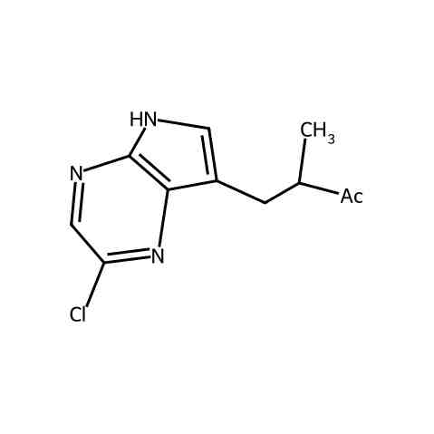 CC(=O)C(C)Cc1c[nH]c2ncc(Cl)nc12